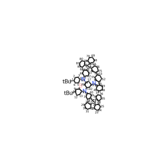 CC(C)(C)c1ccc2c(c1)B1c3cc(C(C)(C)C)ccc3N(c3ccc([Si](c4ccccc4)(c4ccccc4)c4ccccc4)cc3)c3cc(-n4c5ccccc5c5ccccc54)cc(c31)N2c1ccc([Si](c2ccccc2)(c2ccccc2)c2ccccc2)cc1